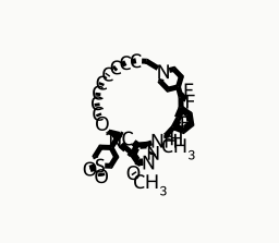 COc1nnc2c3cc(C4CCS(=O)(=O)CC4)c(nc13)OCCCCCCCCCN1CCC(CC1)C(F)(F)c1cccc(c1F)[C@@H](C)N2